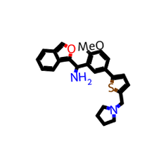 COc1ccc(-c2ccc(CN3CCCC3)s2)cc1C(N)c1occ2ccccc12